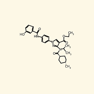 CCOC(=O)c1cn(-c2ccc(NC(=O)c3cccc(O)c3)cc2)nc1N(C(=O)[C@H]1CC[C@H](C)CC1)C(C)C